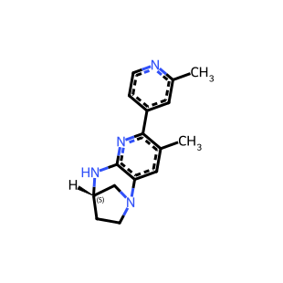 Cc1cc(-c2nc3c(cc2C)N2CC[C@@H](C2)N3)ccn1